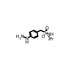 CC(C)NS(=O)(=O)Cc1ccc(NN)cc1